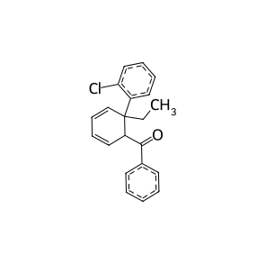 CCC1(c2ccccc2Cl)C=CC=CC1C(=O)c1ccccc1